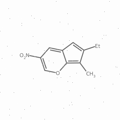 [CH2]Cc1cc2cc([N+](=O)[O-])coc-2c1C